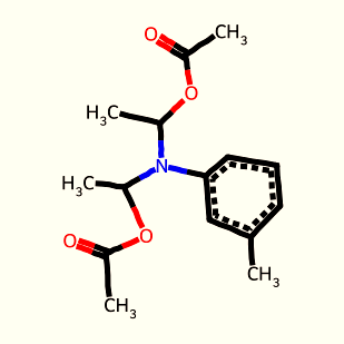 CC(=O)OC(C)N(c1cccc(C)c1)C(C)OC(C)=O